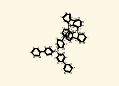 c1ccc(-c2ccc(N(c3ccc(-c4ccccc4)cc3)c3ccc(-c4ccc(-n5c6ccccc6c6cccc(-n7c8ccccc8c8ccccc87)c65)cc4)cc3)cc2)cc1